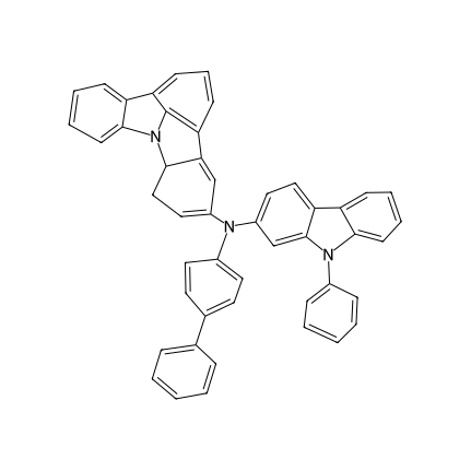 C1=C2c3cccc4c5ccccc5n(c34)C2CC=C1N(c1ccc(-c2ccccc2)cc1)c1ccc2c3ccccc3n(-c3ccccc3)c2c1